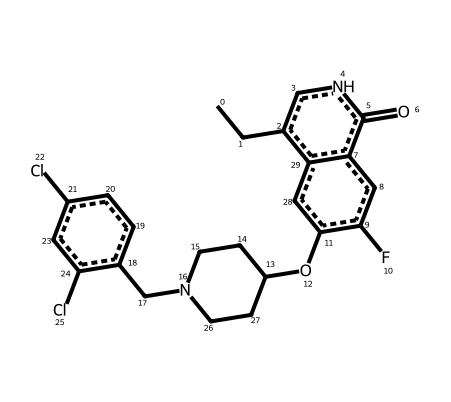 CCc1c[nH]c(=O)c2cc(F)c(OC3CCN(Cc4ccc(Cl)cc4Cl)CC3)cc12